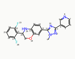 Cn1nc(-c2cccnc2)nc1-c1ccc2c(c1)OCC(c1c(F)cccc1F)N2